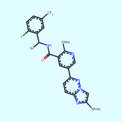 [2H]C(NC(=O)c1cc(-c2ccc3nc(NC(C)=O)cn3n2)cnc1OC)c1cc(C(F)(F)F)ccc1F